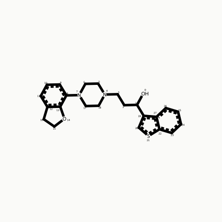 OC(CCN1CCN(c2cccc3c2OCC3)CC1)c1csc2ccccc12